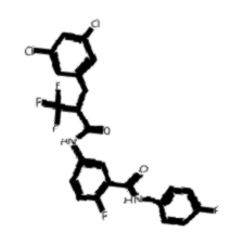 O=C(Nc1ccc(F)cc1)c1cc(NC(=O)C(Cc2cc(Cl)cc(Cl)c2)C(F)(F)F)ccc1F